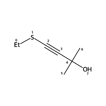 CCSC#CC(C)(C)O